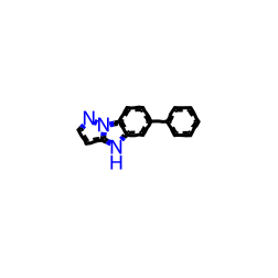 c1ccc(-c2ccc3c(c2)[nH]c2ccnn23)cc1